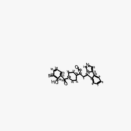 O=NC(CC1c2ccccc2-c2cncn21)C1CCN(C(=O)c2cccc(F)c2O)CC1